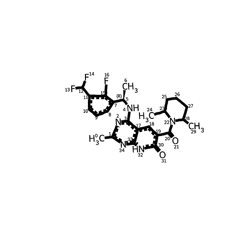 Cc1nc(N[C@H](C)c2cccc(C(F)F)c2F)c2cc(C(=O)N3C(C)CCCC3C)c(=O)[nH]c2n1